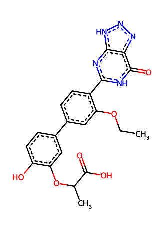 CCOc1cc(-c2ccc(O)c(OC(C)C(=O)O)c2)ccc1-c1nc2[nH]nnc2c(=O)[nH]1